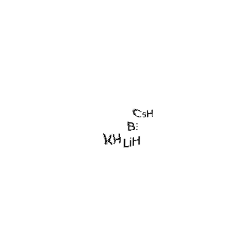 [B].[CsH].[KH].[LiH]